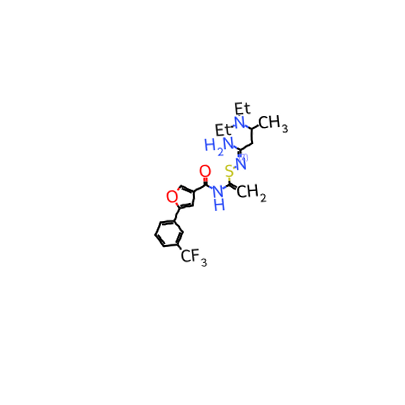 C=C(NC(=O)c1coc(-c2cccc(C(F)(F)F)c2)c1)S/N=C(\N)CC(C)N(CC)CC